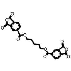 O=C(OCCCCCOC(=O)c1ccc2c(c1)C(=O)OC2=O)c1ccc2c(c1)C(=O)OC2=O